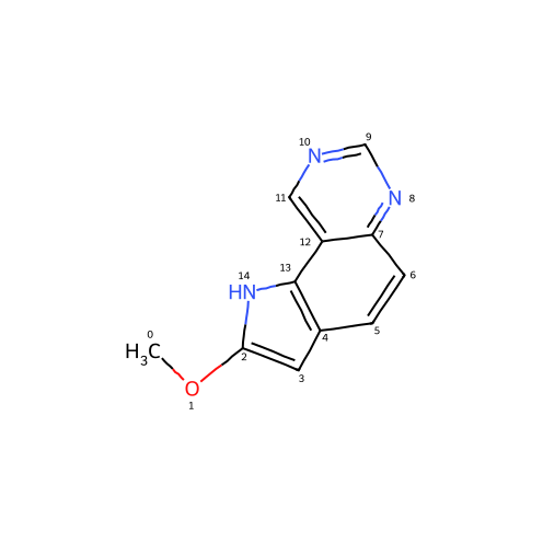 COc1cc2ccc3ncncc3c2[nH]1